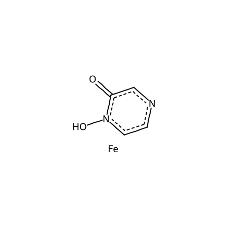 O=c1cnccn1O.[Fe]